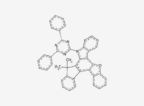 CC1(C)c2ccccc2-c2c1c1c(c3ccccc3n1-c1nc(-c3ccccc3)nc(-c3ccccc3)n1)c1oc3ccccc3c21